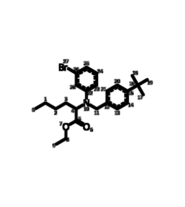 CCCCC(C(=O)OCC)N(Cc1ccc(C(C)(C)C)cc1)c1cccc(Br)c1